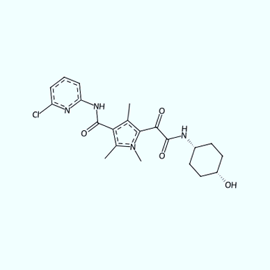 Cc1c(C(=O)Nc2cccc(Cl)n2)c(C)n(C)c1C(=O)C(=O)N[C@H]1CC[C@@H](O)CC1